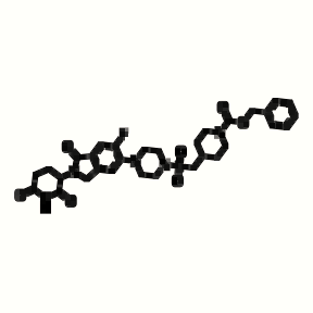 O=C1CCC(N2Cc3cc(N4CCN(S(=O)(=O)CC5CCN(C(=O)OCc6ccccc6)CC5)CC4)c(F)cc3C2=O)C(=O)N1